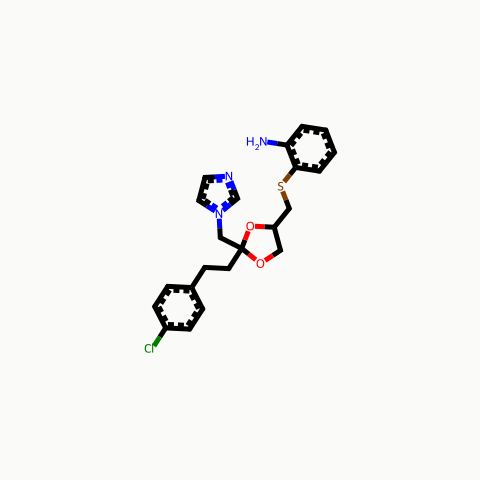 Nc1ccccc1SCC1COC(CCc2ccc(Cl)cc2)(Cn2ccnc2)O1